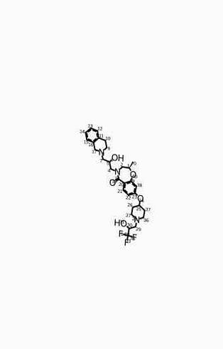 C[C@@H]1CN(CC(O)CN2CCc3ccccc3C2)C(=O)c2ccc(OC3CCN(CC(O)C(F)(F)F)CC3)cc2O1